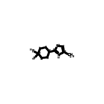 Cc1csc(C2CCC(F)(F)CC2)n1